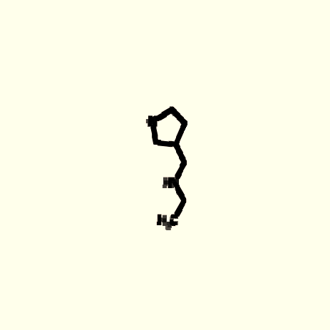 CCNCC1CC[N]C1